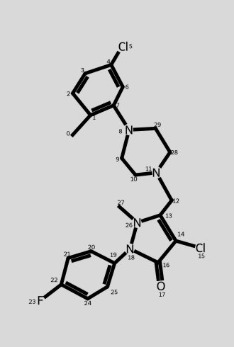 Cc1ccc(Cl)cc1N1CCN(Cc2c(Cl)c(=O)n(-c3ccc(F)cc3)n2C)CC1